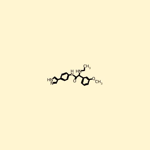 CCNC(C(=O)Nc1ccc(-c2cn[nH]c2)cc1)c1cccc(OC)c1